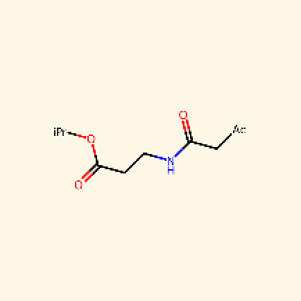 CC(=O)CC(=O)NCCC(=O)OC(C)C